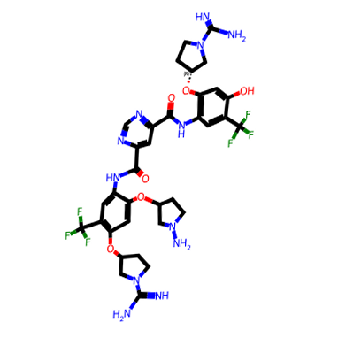 N=C(N)N1CCC(Oc2cc(OC3CCN(N)C3)c(NC(=O)c3cc(C(=O)Nc4cc(C(F)(F)F)c(O)cc4O[C@@H]4CCN(C(=N)N)C4)ncn3)cc2C(F)(F)F)C1